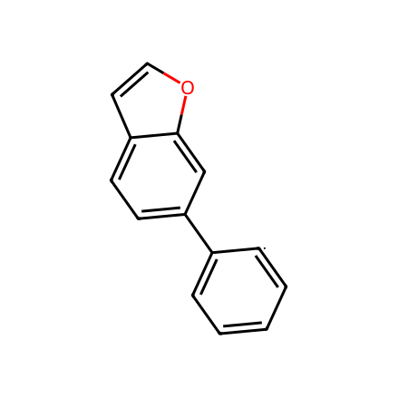 [c]1ccccc1-c1ccc2ccoc2c1